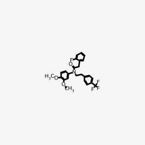 COc1ccc(N(CCc2ccc(C(F)(F)F)cc2)C(=O)Cc2ccccc2F)cc1OC